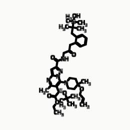 C=CCOC1(C)CCN(c2c([C@H](OC(C)(C)C)C(=O)OCC)c(C)nc3cc(C(=O)NCC(=O)Cc4ccccc4CC(C)(C)[Si](C)(C)O)nn23)CC1